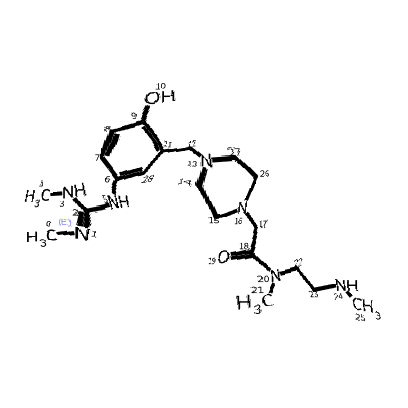 C/N=C(\NC)Nc1ccc(O)c(CN2CCN(CC(=O)N(C)CCNC)CC2)c1